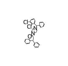 O=C(CC(c1ccccc1)c1ccccc1)N1CCN(C(c2ccccc2)c2cccc(Cl)c2Cl)CC1